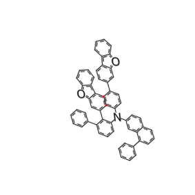 c1ccc(-c2cccc(N(c3ccc(-c4ccc5c(c4)oc4ccccc45)cc3)c3ccc4cccc(-c5ccccc5)c4c3)c2-c2ccc3c(c2)oc2ccccc23)cc1